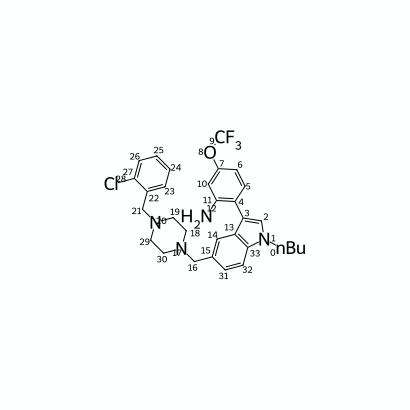 CCCCn1cc(-c2ccc(OC(F)(F)F)cc2N)c2cc(CN3CCN(Cc4ccccc4Cl)CC3)ccc21